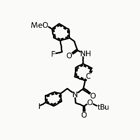 COc1ccc(CC(=O)Nc2ccc(C(=O)N(CC(=O)OC(C)(C)C)Cc3ccc(I)cc3)cc2)c(CF)c1